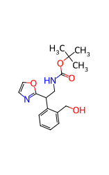 CC(C)(C)OC(=O)NCC(c1ncco1)c1ccccc1CO